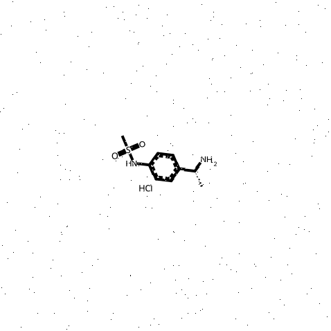 C[C@@H](N)c1ccc(NS(C)(=O)=O)cc1.Cl